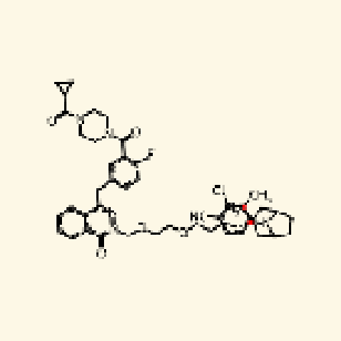 Cc1c(N2C3CCC2CC(C)(OCCCOCCOCn2nc(Cc4ccc(F)c(C(=O)N5CCN(C(=O)C6CC6)CC5)c4)c4ccccc4c2=O)C3)ccc(C#N)c1Cl